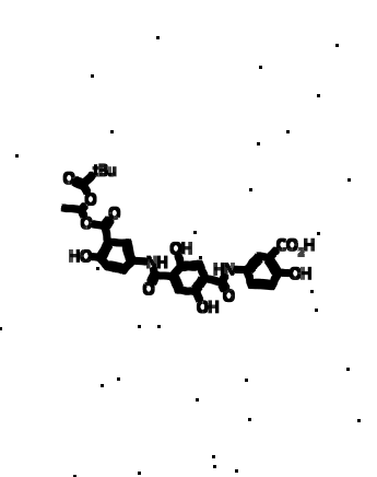 CC(OC(=O)c1cc(NC(=O)c2cc(O)c(C(=O)Nc3ccc(O)c(C(=O)O)c3)cc2O)ccc1O)OC(=O)C(C)(C)C